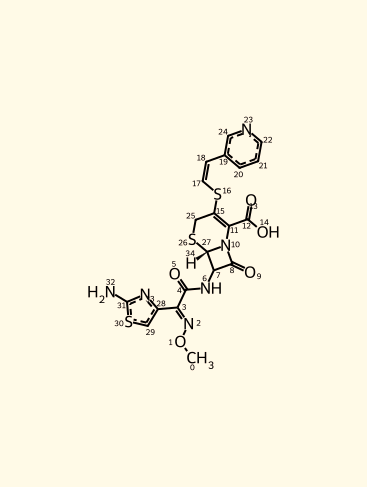 CON=C(C(=O)NC1C(=O)N2C(C(=O)O)=C(S/C=C\c3cccnc3)CS[C@@H]12)c1csc(N)n1